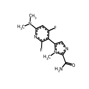 CN(C)c1cc(F)c(-c2cnc(C(N)=O)n2C)c(F)n1